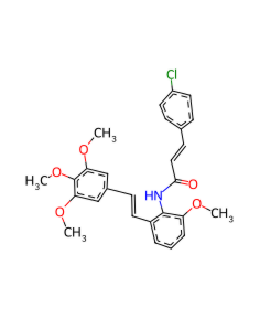 COc1cccc(/C=C/c2cc(OC)c(OC)c(OC)c2)c1NC(=O)/C=C/c1ccc(Cl)cc1